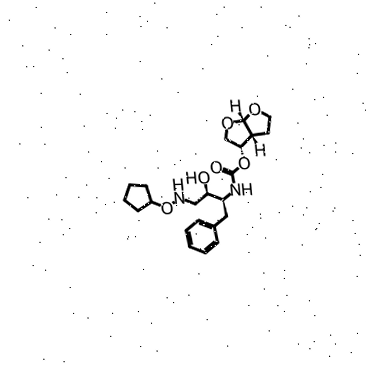 O=C(N[C@@H](Cc1ccccc1)[C@H](O)CNOC1CCCC1)O[C@@H]1CO[C@@H]2OCC[C@@H]21